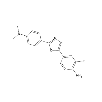 CN(C)c1ccc(-c2nnc(-c3ccc(N)c(Cl)c3)o2)cc1